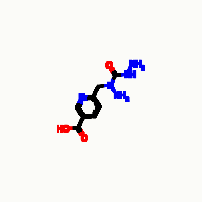 NNC(=O)N(N)Cc1ccc(C(=O)O)cn1